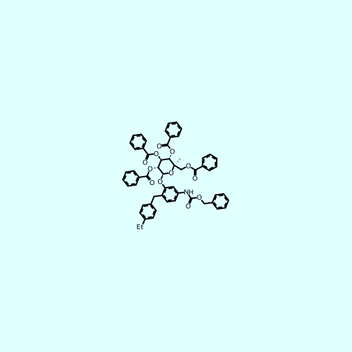 CCc1ccc(Cc2ccc(NC(=O)OCc3ccccc3)cc2O[C@@H]2O[C@](C)(COC(=O)c3ccccc3)[C@@H](OC(=O)c3ccccc3)[C@H](OC(=O)c3ccccc3)[C@H]2OC(=O)c2ccccc2)cc1